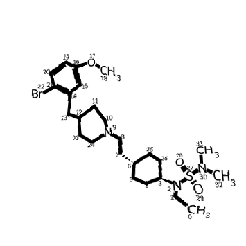 CCN([C@H]1CC[C@H](CCN2CCC(Cc3cc(OC)ccc3Br)CC2)CC1)S(=O)(=O)N(C)C